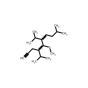 C#CC/C(=C(SC)\C(=C/CC(C)C)C(C)C)C(C)C